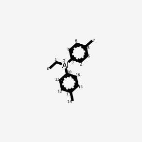 C[CH2][Al]([c]1ccc(C)cc1)[c]1ccc(C)cc1